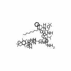 CCCCCCCCNC(=O)C(Cc1ccccc1)NC(=O)C(COC(C)(C)C)NC(=O)C(NC(=O)C(CCCNC(=N)NS(=O)(=O)c1c(C)c(C)c2c(c1C)CC(C)(C)O2)NC(=O)CN)C(C)C